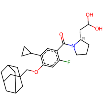 O=C(c1cc(C2CC2)c(OCC23CC4CC(CC(C4)C2)C3)cc1F)N1CCC[C@H]1CC(O)O